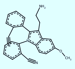 COc1ccc2c(c1)c(CCN)c(-c1ccccc1C#N)n2-c1ccccc1C#N